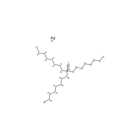 CCCCCCCCP(=O)(CCCCCCCC)CCCCCCCC.[Pd]